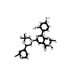 Cc1cc(C2CN(c3cc4c(=O)n(C)c(C)nc4c(-c4ccc(F)cc4F)n3)CC(C)(C)O2)ccn1